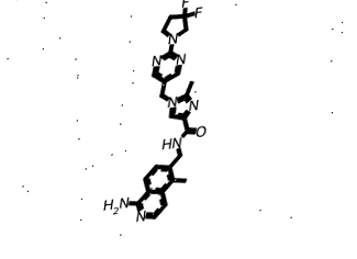 Cc1c(CNC(=O)c2cn(Cc3cnc(N4CCC(F)(F)C4)nc3)c(C)n2)ccc2c(N)nccc12